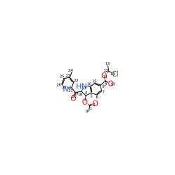 CC(=O)OC1c2ccc(C(=O)OC(C)Cl)cc2NC1C(=O)c1cc(C)ccn1